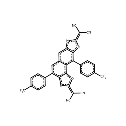 N#CC(C#N)=c1nc2cc3cc(-c4ccc(C(F)(F)F)cc4)c4nc(=C(C#N)C#N)oc4c3c(-c3ccc(C(F)(F)F)cc3)c2o1